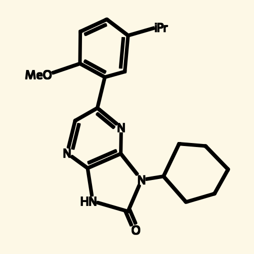 COc1ccc(C(C)C)cc1-c1cnc2[nH]c(=O)n(C3CCCCC3)c2n1